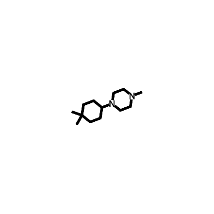 CN1CCN(C2CCC(C)(C)CC2)CC1